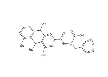 O=C(N[C@@H](Cc1ccccc1)C(=O)O)c1cc(O)c2c(c1)C(O)c1cccc(O)c1C2O